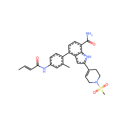 CC=CC(=O)Nc1ccc(-c2ccc(C(N)=O)c3[nH]c(C4=CCN(S(C)(=O)=O)CC4)cc23)c(C)c1